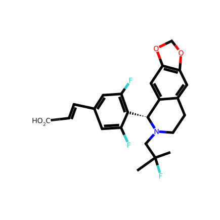 CC(C)(F)CN1CCc2cc3c(cc2[C@H]1c1c(F)cc(/C=C/C(=O)O)cc1F)OCO3